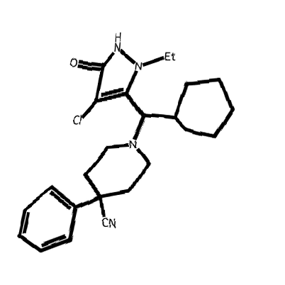 CCn1[nH]c(=O)c(Cl)c1C(C1CCCCC1)N1CCC(C#N)(c2ccccc2)CC1